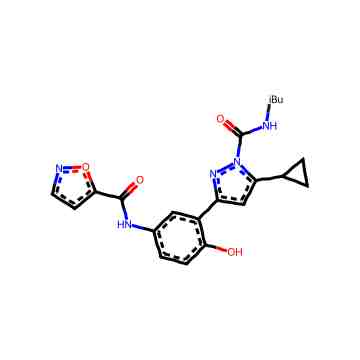 CCC(C)NC(=O)n1nc(-c2cc(NC(=O)c3ccno3)ccc2O)cc1C1CC1